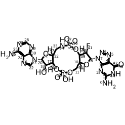 Nc1nc2c(nnn2[C@@H]2O[C@@H]3COP(=O)(O)O[C@H]4[C@@H](O)[C@H](n5cnc6c(N)ncnc65)O[C@@H]4CNS(=O)(=O)O[C@H]3[C@H]2F)c(=O)[nH]1